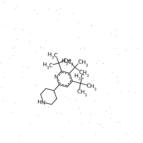 CC(C)(C)c1cc(C2CCNCC2)nc(C(C)(C)C)c1C(C)(C)C